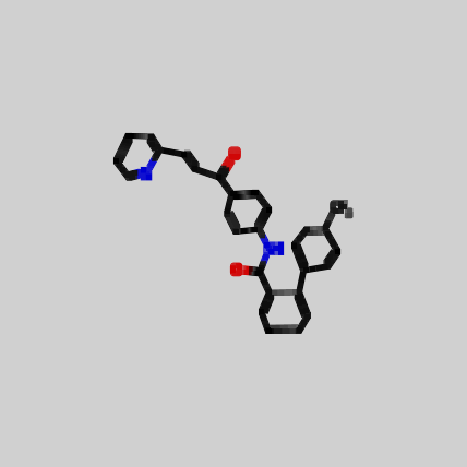 O=C(C=Cc1ccccn1)c1ccc(NC(=O)c2ccccc2-c2ccc(C(F)(F)F)cc2)cc1